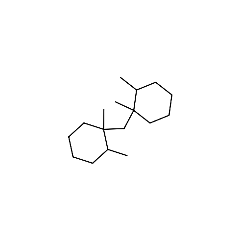 CC1CCCCC1(C)CC1(C)CCCCC1C